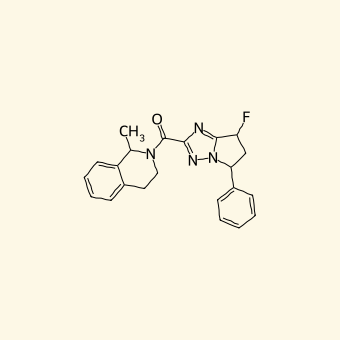 CC1c2ccccc2CCN1C(=O)c1nc2n(n1)C(c1ccccc1)CC2F